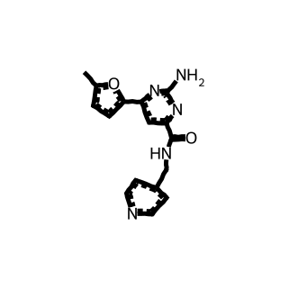 Cc1ccc(-c2cc(C(=O)NCc3ccncc3)nc(N)n2)o1